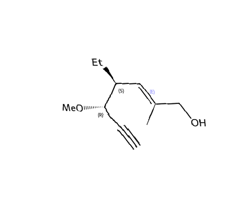 C#C[C@H](OC)[C@H](/C=C(\C)CO)CC